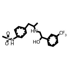 CC(Cc1ccc(NS(C)(=O)=O)cc1)NCC(O)c1cccc(C(F)(F)F)c1